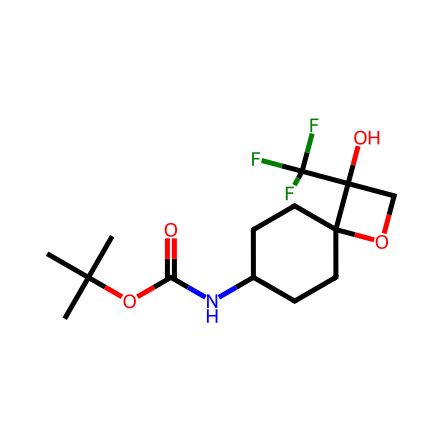 CC(C)(C)OC(=O)NC1CCC2(CC1)OCC2(O)C(F)(F)F